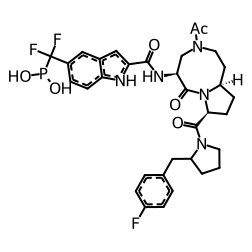 CC(=O)N1CC[C@H]2CC[C@@H](C(=O)N3CCCC3Cc3ccc(F)cc3)N2C(=O)[C@@H](NC(=O)c2cc3cc(C(F)(F)P(O)O)ccc3[nH]2)C1